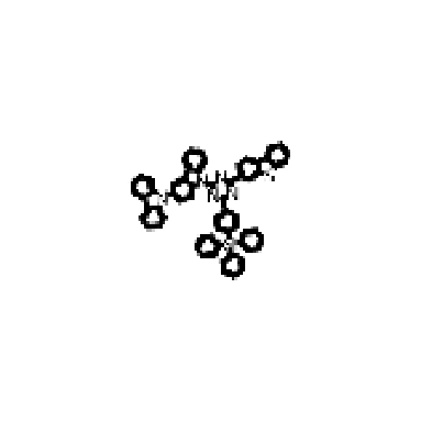 c1ccc([Si](c2ccccc2)(c2ccccc2)c2ccc(-c3nc(-c4ccc5c(c4)sc4ccccc45)nc(-n4c5ccccc5c5cc(-n6c7ccccc7c7ccccc76)ccc54)n3)cc2)cc1